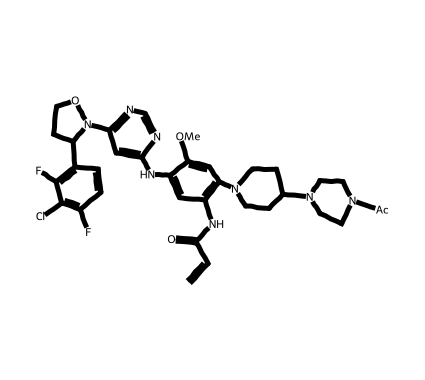 C=CC(=O)Nc1cc(Nc2cc(N3OCCC3c3ccc(F)c(Cl)c3F)ncn2)c(OC)cc1N1CCC(N2CCN(C(C)=O)CC2)CC1